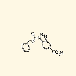 O=C(O)c1ccc2c(c1)nnn2C(=O)OCc1ccccc1